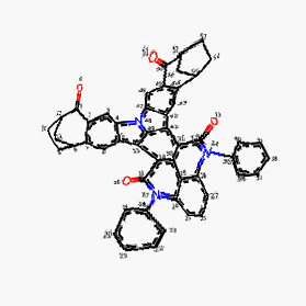 O=C1c2cc3c(cc2C2CCC1C2)c1c2c(=O)n(-c4ccccc4)c4cccc5c4c2c(c(=O)n5-c2ccccc2)c2c4cc5c(cc4n3c12)C(=O)C1CCC5C1